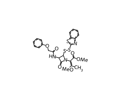 COC(=O)/C(=C(\C)OC)N1C(=O)C(NC(=O)COc2ccccc2)C1SSc1nc2ccccc2s1